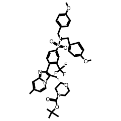 COc1ccc(CN(Cc2ccc(OC)cc2)S(=O)(=O)c2ccc(-c3nc4cc(C)ccn4c3C[C@H]3CN(C(=O)OC(C)(C)C)CCO3)c(C(F)(F)F)c2)cc1